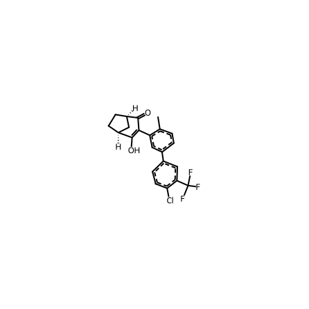 Cc1ccc(-c2ccc(Cl)c(C(F)(F)F)c2)cc1C1=C(O)[C@H]2CC[C@H](C2)C1=O